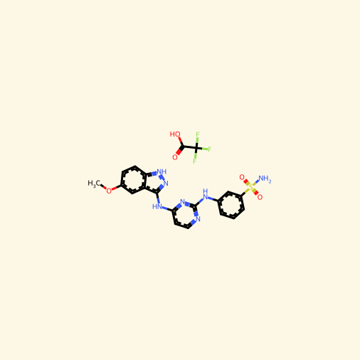 COc1ccc2[nH]nc(Nc3ccnc(Nc4cccc(S(N)(=O)=O)c4)n3)c2c1.O=C(O)C(F)(F)F